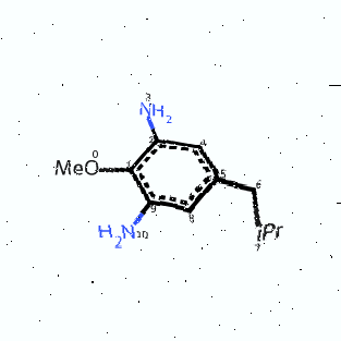 COc1c(N)cc(CC(C)C)cc1N